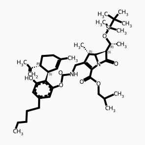 C=C(C)[C@@H]1CCC(C)=C[C@H]1c1c(O)cc(CCCCC)cc1OC(=O)NCC1=C(C(=O)OCC(C)C)N2C(=O)[C@H]([C@@H](C)O[Si](C)(C)C(C)(C)C)C2[C@H]1C